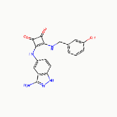 Nc1n[nH]c2ccc(Nc3c(NCc4cccc(O)c4)c(=O)c3=O)cc12